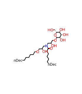 CCCCCCCCCCCCCCCCOCC(O)CN(CC(O)COC1O[C@H](CO)[C@@H](O)[C@H](O)[C@H]1O)C(=O)CCCCCCCCCCCCCCC